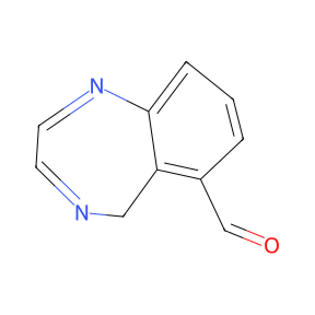 O=Cc1cccc2c1CN=CC=N2